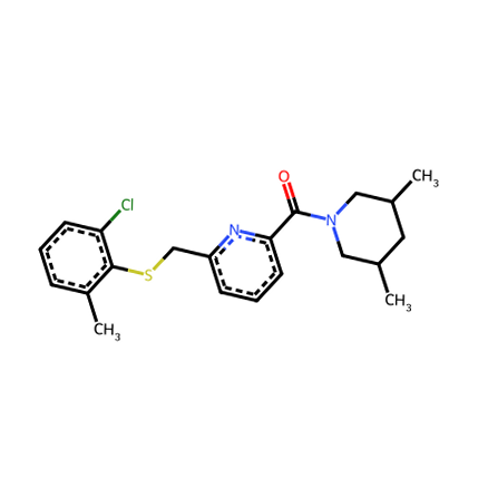 Cc1cccc(Cl)c1SCc1cccc(C(=O)N2CC(C)CC(C)C2)n1